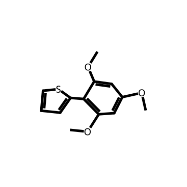 COc1cc(OC)c(-c2cccs2)c(OC)c1